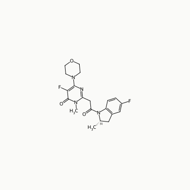 C[C@H]1Cc2cc(F)ccc2N1C(=O)Cc1nc(N2CCOCC2)c(F)c(=O)n1C